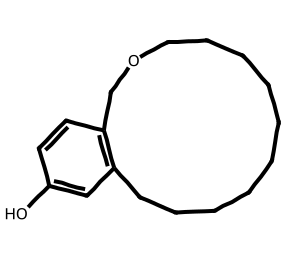 Oc1ccc2c(c1)CCCCCCCCCCOC2